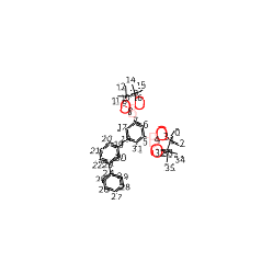 CC1(C)OB(c2cc(B3OC(C)(C)C(C)(C)O3)cc(-c3cccc(-c4ccccc4)c3)c2)OC1(C)C